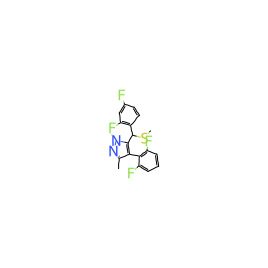 CSC(c1ccc(F)cc1F)c1c(-c2c(F)cccc2F)c(C)nn1C